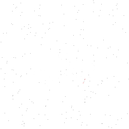 c1ccc(-c2cccc3cccc(-c4ccccc4N(c4ccc(-c5cccc6c5ccc5ccccc56)cc4)c4cccc(-c5cccc6oc7ccccc7c56)c4)c23)cc1